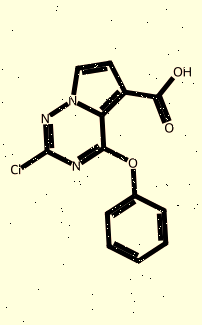 O=C(O)c1ccn2nc(Cl)nc(Oc3ccccc3)c12